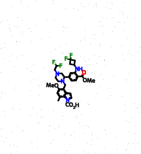 COC(=O)c1ccc(C2CN(CC(F)F)CCN2Cc2c(OC)cc(C)c3c2ccn3C(=O)O)cc1NC1CC(F)(F)C1